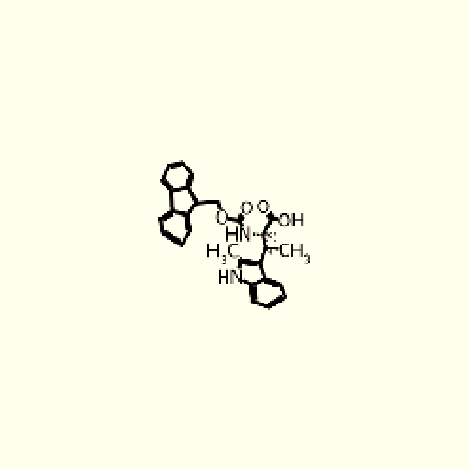 Cc1[nH]c2ccccc2c1[C@H](C)[C@H](NC(=O)OCC1c2ccccc2-c2ccccc21)C(=O)O